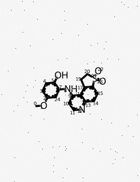 COc1ccc(O)c(Nc2ccnc3ccc4c(c23)CCS4(=O)=O)c1